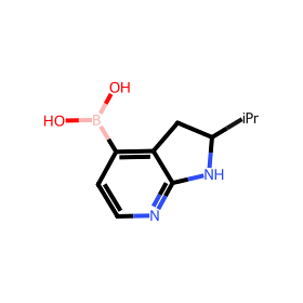 CC(C)C1Cc2c(B(O)O)ccnc2N1